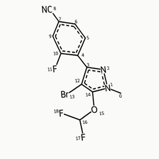 Cn1nc(-c2ccc(C#N)cc2F)c(Br)c1OC(F)F